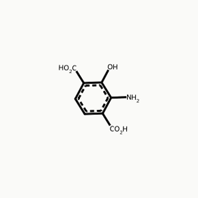 Nc1c(C(=O)O)ccc(C(=O)O)c1O